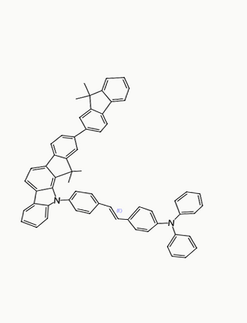 CC1(C)c2ccccc2-c2ccc(-c3ccc4c(c3)C(C)(C)c3c-4ccc4c5ccccc5n(-c5ccc(/C=C/c6ccc(N(c7ccccc7)c7ccccc7)cc6)cc5)c34)cc21